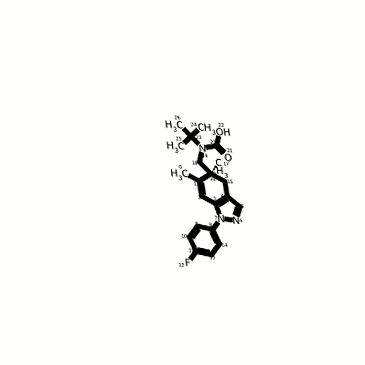 CC1=Cc2c(cnn2-c2ccc(F)cc2)C[C@]1(C)CN(C(=O)O)C(C)(C)C